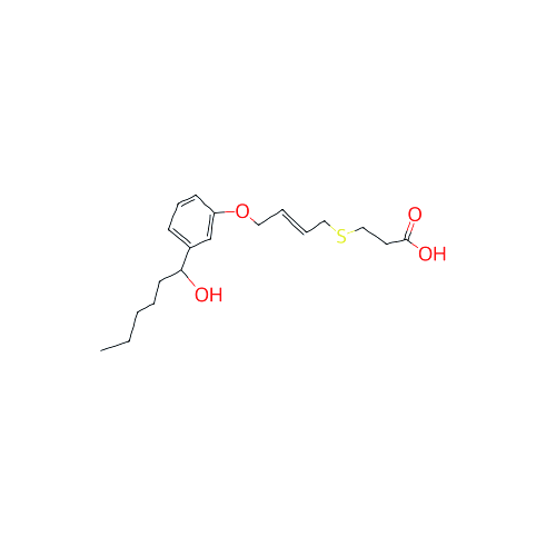 CCCCCC(O)c1cccc(OCC=CCSCCC(=O)O)c1